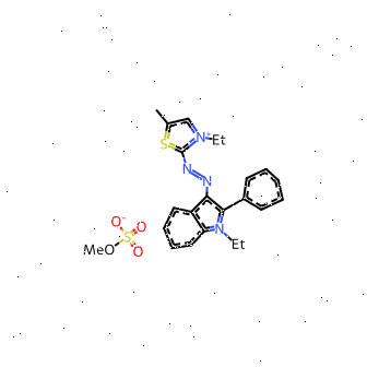 CCn1c(-c2ccccc2)c(N=Nc2sc(C)c[n+]2CC)c2ccccc21.COS(=O)(=O)[O-]